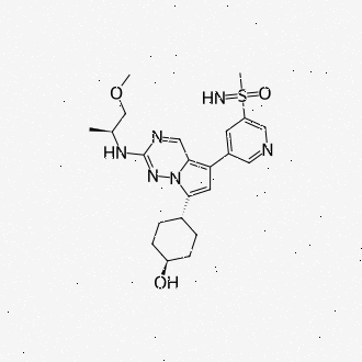 COC[C@H](C)Nc1ncc2c(-c3cncc(S(C)(=N)=O)c3)cc([C@H]3CC[C@H](O)CC3)n2n1